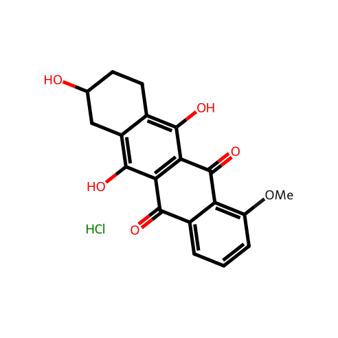 COc1cccc2c1C(=O)c1c(O)c3c(c(O)c1C2=O)CC(O)CC3.Cl